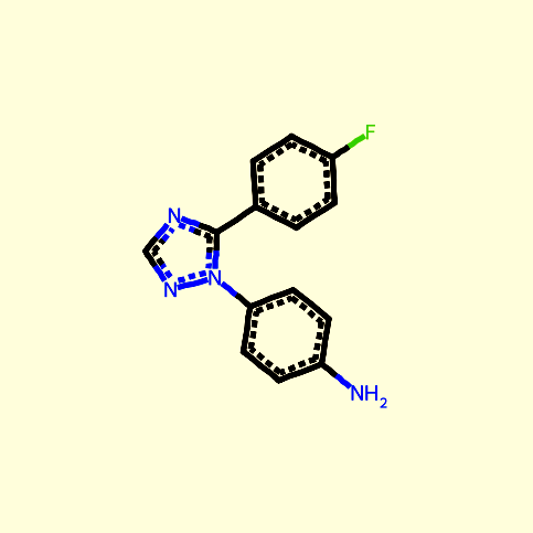 Nc1ccc(-n2ncnc2-c2ccc(F)cc2)cc1